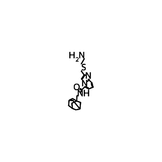 NCCSCc1cn2c(C(=O)NCC34CC5CC(CC(C5)C3)C4)cccc2n1